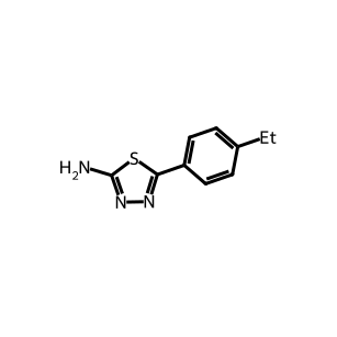 CCc1ccc(-c2nnc(N)s2)cc1